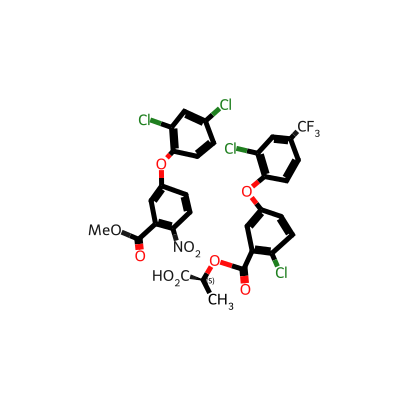 COC(=O)c1cc(Oc2ccc(Cl)cc2Cl)ccc1[N+](=O)[O-].C[C@H](OC(=O)c1cc(Oc2ccc(C(F)(F)F)cc2Cl)ccc1Cl)C(=O)O